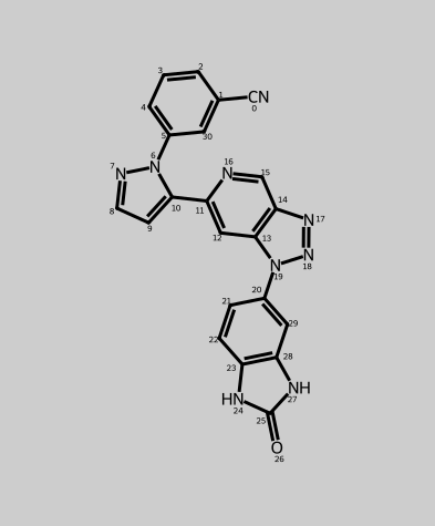 N#Cc1cccc(-n2nccc2-c2cc3c(cn2)nnn3-c2ccc3[nH]c(=O)[nH]c3c2)c1